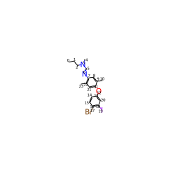 CCCN(C)/C=N/c1cc(C)c(Oc2ccc(Br)c(I)c2)cc1C